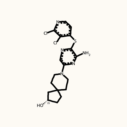 Nc1nc(N2CCC3(CC[C@H](O)C3)CC2)cnc1Sc1ccnc(Cl)c1Cl